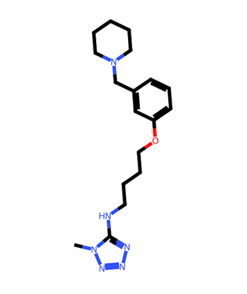 Cn1nnnc1NCCCCOc1cccc(CN2CCCCC2)c1